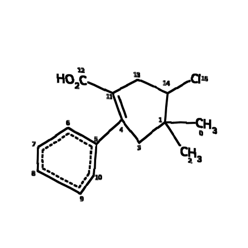 CC1(C)CC(c2ccccc2)=C(C(=O)O)CC1Cl